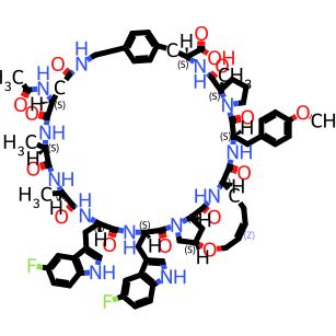 COc1ccc(C[C@@H]2NC(=O)[C@@H]3CC/C=C\CO[C@H]4C[C@@H](C(=O)N3)N(C4)C(=O)[C@H](Cc3c[nH]c4ccc(F)cc34)NC(=O)[C@H](Cc3c[nH]c4ccc(F)cc34)NC(=O)[C@@H](C)NC(=O)[C@H](C)NC(=O)[C@@H](NC(C)=O)CC(=O)NCc3ccc(cc3)C[C@@H](C(=O)O)NC(=O)[C@]3(C)CCCN3C2=O)cc1